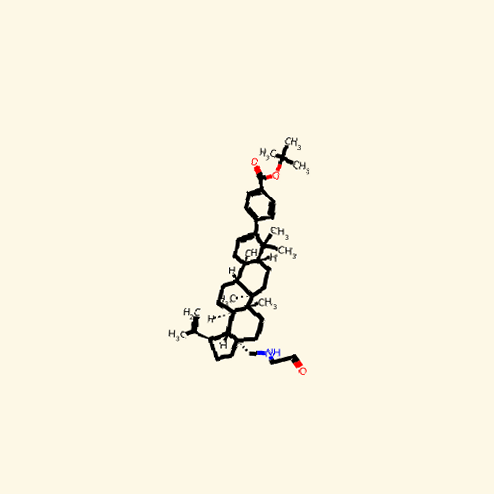 C=C(C)[C@@H]1CC[C@]2(CNCC=O)CC[C@]3(C)[C@H](CC[C@@H]4[C@@]5(C)CC=C(c6ccc(C(=O)OC(C)(C)C)cc6)C(C)(C)[C@@H]5CC[C@]43C)[C@@H]12